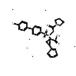 O=C(CN(C1(C(=O)O)CC1c1ccccc1)S(=O)(=O)c1ccc(-c2ccc(Cl)cc2)cc1)N1CCCC1